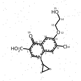 O=C(O)c1cn(C2CC2)c2cc(Cl)c(OCCO)cc2c1=O